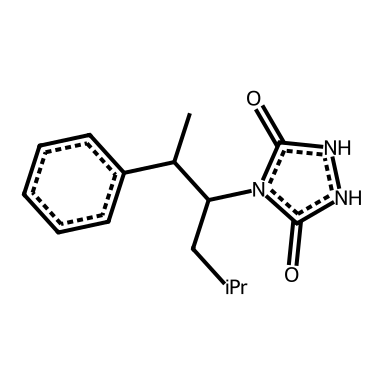 CC(C)CC(C(C)c1ccccc1)n1c(=O)[nH][nH]c1=O